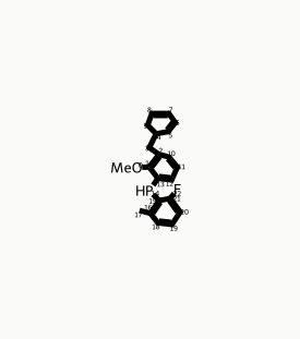 COc1c(CC2C=CC=CC2)cccc1Pc1c(C)cccc1F